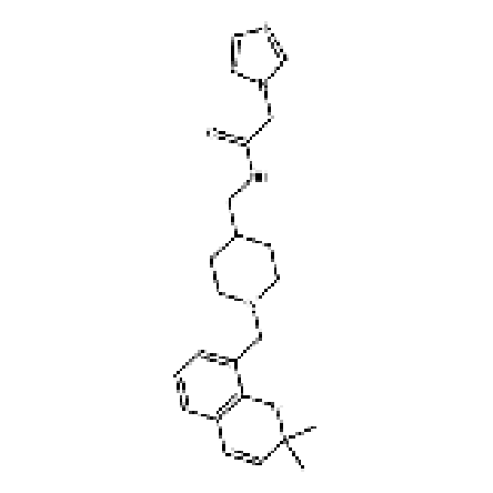 CC1(C)C=Cc2cccc(CN3CCC(CNC(=O)Cn4ccnc4)CC3)c2O1